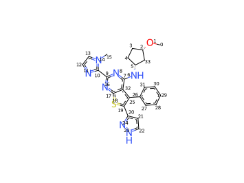 CO[C@H]1CC[C@@H](Nc2nc(-c3nccn3C)nc3sc(-c4cc[nH]n4)c(-c4ccccc4)c23)C1